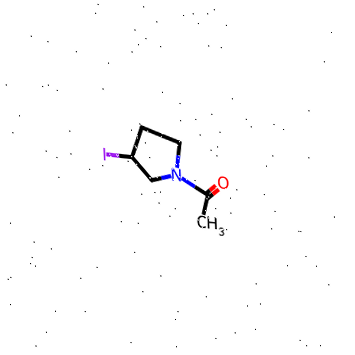 CC(=O)N1CCC(I)C1